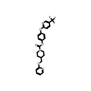 O=C(Oc1ccc(Oc2ccc(C(F)(F)F)cn2)cc1)N1CCC(COc2ccccn2)CC1